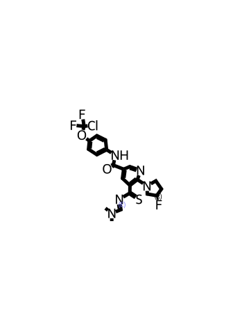 CN(C)/C=N/C(=S)c1cc(C(=O)Nc2ccc(OC(F)(F)Cl)cc2)cnc1N1CC[C@@H](F)C1